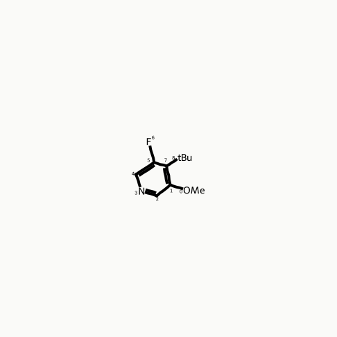 COc1cncc(F)c1C(C)(C)C